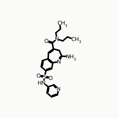 CCCN(CCC)C(=O)C1=Cc2ccc(S(=O)(=O)Nc3cccnc3)cc2N=C(N)C1